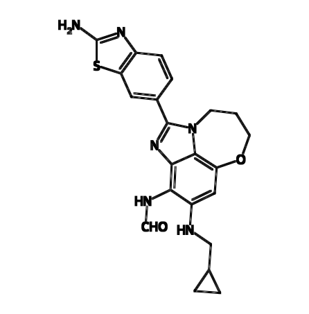 Nc1nc2ccc(-c3nc4c(NC=O)c(NCC5CC5)cc5c4n3CCCO5)cc2s1